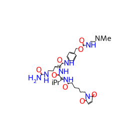 CNCCNC(=O)OCc1ccc(NC(=O)[C@H](CCCNC(N)=O)NC(=O)[C@@H](NC(=O)CCCCCN2C(=O)C=CC2=O)C(C)C)cc1